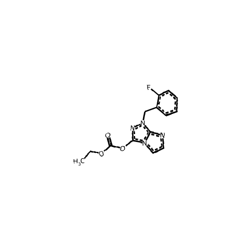 CCOC(=O)Oc1nn(Cc2ccccc2F)c2nccn12